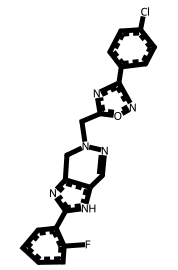 Fc1ccccc1-c1nc2c([nH]1)C=NN(Cc1nc(-c3ccc(Cl)cc3)no1)C2